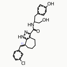 O=C(NC(CO)Cc1ccc(O)cc1)c1n[nH]c2c1CCCC/C2=C\c1cccc(Cl)c1